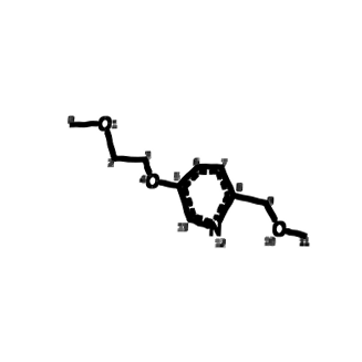 COCCOc1ccc(COC)nc1